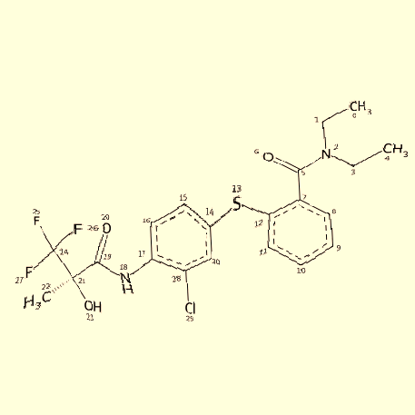 CCN(CC)C(=O)c1ccccc1Sc1ccc(NC(=O)[C@@](C)(O)C(F)(F)F)c(Cl)c1